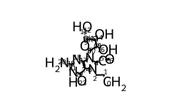 C=CCN1C(=C=O)N([C@@H]2O[C@H](CO)[C@@H](O)[C@H]2O)c2nc(N)[nH]c(=O)c21